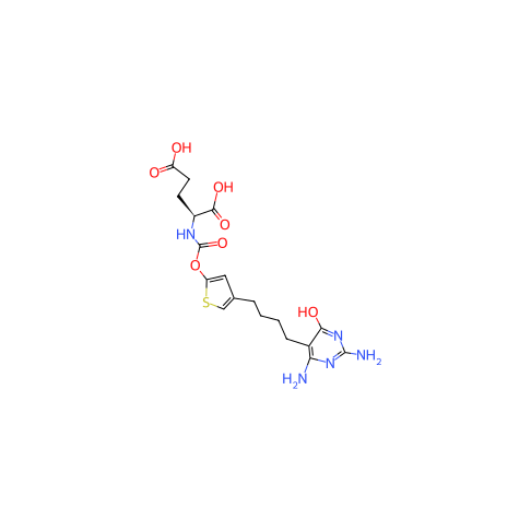 Nc1nc(N)c(CCCCc2csc(OC(=O)N[C@@H](CCC(=O)O)C(=O)O)c2)c(O)n1